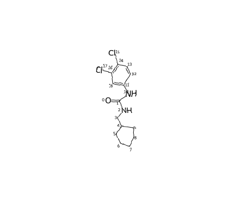 O=C(NCC1CCCCC1)Nc1ccc(Cl)c(Cl)c1